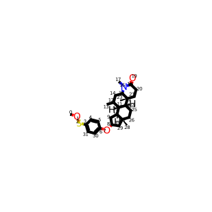 COSc1ccc(OC2C[C@H]3[C@@H]4C(C)CC5N(C)C(=O)CC[C@]5(C)[C@@H]4CC[C@]3(C)C2)cc1